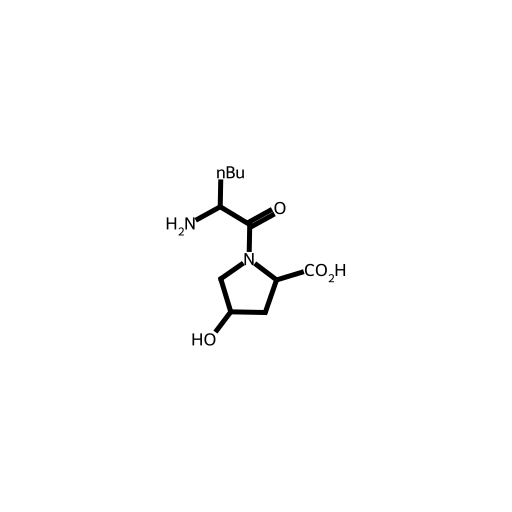 CCCCC(N)C(=O)N1CC(O)CC1C(=O)O